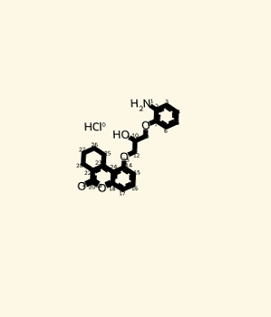 Cl.Nc1ccccc1OCC(O)COc1cccc2oc(=O)c3c(c12)CCCC3